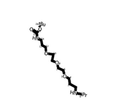 CC(C)NCCCOCCOCCOCCCNC(=O)OC(C)(C)C